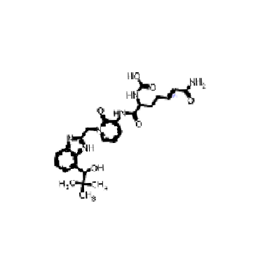 CC(C)(C)C(O)c1cccc2nc(Cn3cccc(NC(=O)C(CC/C=C/C(N)=O)NC(=O)O)c3=O)[nH]c12